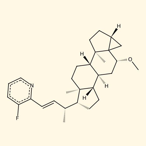 CO[C@@H]1C[C@H]2[C@@H]3CC[C@H]([C@H](C)/C=C/c4ncccc4F)[C@@]3(C)CC[C@@H]2[C@@]2(C)CC[C@@H]3CC312